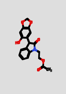 CC(=O)OCCN1C(=O)C(c2cc3c(cc2O)OCO3)c2ccccc21